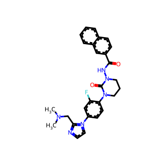 CN(C)Cc1nccn1-c1ccc(N2CCCN(NC(=O)c3ccc4ccccc4c3)C2=O)c(F)c1